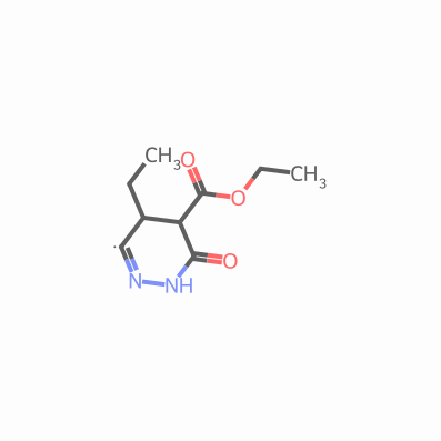 CCOC(=O)C1C(=O)NN=[C]C1CC